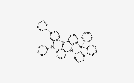 c1ccc(-c2ccc3c(c2)N(c2ccccc2)c2cccc4c2B3c2cccc3c2N4c2ccccc2[Si]3(c2ccccc2)c2ccccc2)cc1